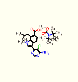 CC(C)Cc1c(C(=O)O)ccc2c(-c3ncnc(N)c3Cl)cn(C)c12.COC(=O)N(C(C)(C)C)C(C)(C)C